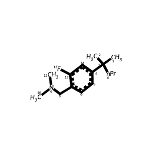 CCCC(C)(C)c1ccc(CN(C)C)c(F)c1